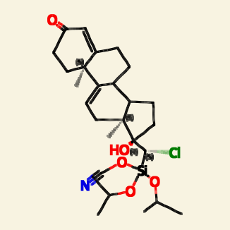 CC(C)O[Si](OC#N)(OC(C)C)[C@@H](Cl)[C@@]1(O)CCC2C3CCC4=CC(=O)CC[C@]4(C)C3=CC[C@@]21C